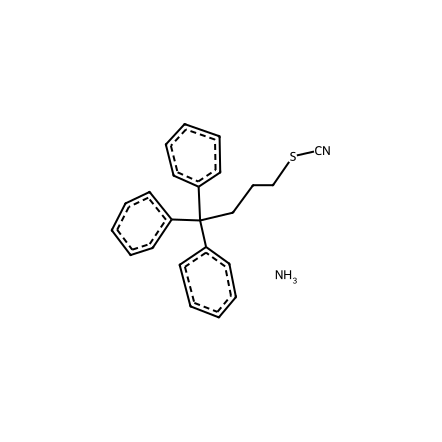 N.N#CSCCCC(c1ccccc1)(c1ccccc1)c1ccccc1